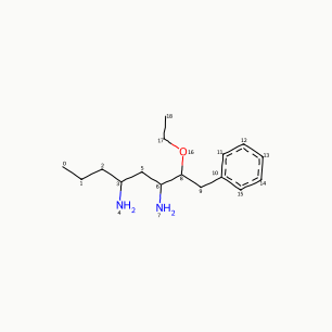 CCCC(N)CC(N)C(Cc1ccccc1)OCC